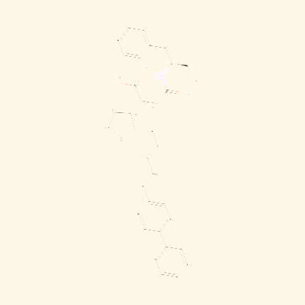 O=C(N[C@H](CO)Cc1ccccc1)[C@H](CCCCCCc1ccc(-c2ccccc2)cc1)[C@@H](C(=O)O)C1CCCC1